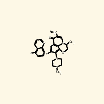 CC1COc2c(N3CCN(C)CC3)c(F)cc3c(=O)c(C(=O)O)cn1c23.Fc1cccc2ncccc12